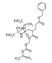 C=C(C)OC(=O)OCOC(=O)C(CCC(=O)OCc1ccccc1)CP(=O)(N[C@@H](C)C(=O)OCC)N[C@@H](C)C(=O)OCC